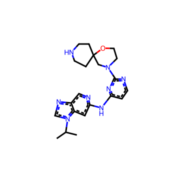 CC(C)n1cnc2cnc(Nc3ccnc(N4CCOC5(CCNCC5)C4)n3)cc21